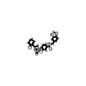 O=C(NCc1ccc2c(c1)OCO2)c1ccc(N(CCc2ccccc2Cl)S(=O)(=O)Cl)cc1